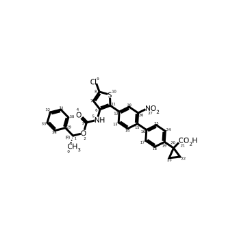 C[C@@H](OC(=O)Nc1cc(Cl)sc1-c1ccc(-c2ccc(C3(C(=O)O)CC3)cc2)c([N+](=O)[O-])c1)c1ccccc1